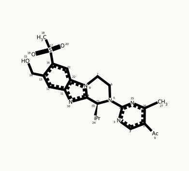 CC(=O)c1cnc(N2CCn3c(nc4cc(CO)c(S(C)(=O)=O)cc43)[C@@H]2C(C)C)nc1C